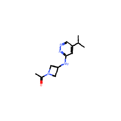 CC(=O)N1CC(Nc2cc(C(C)C)cnn2)C1